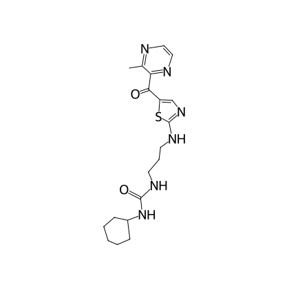 Cc1nccnc1C(=O)c1cnc(NCCCNC(=O)NC2CCCCC2)s1